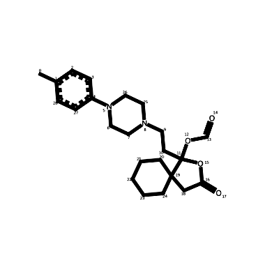 Cc1ccc(N2CCN(CCC3(OC=O)OC(=O)CC34CCCCC4)CC2)cc1